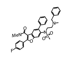 CNC(=O)c1c(-c2ccc(F)cc2)oc2cc(N(CCN(C)Cc3ccccc3)S(C)(=O)=O)c(-c3ccccc3)cc12